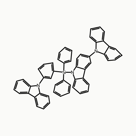 c1ccc([Si](c2ccccc2)(c2cccc(-n3c4ccccc4c4ccccc43)c2)n2c3ccccc3c3cc(-n4c5ccccc5c5ccccc54)ccc32)cc1